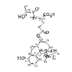 C[C@H](O)C(=O)N[C@@H](CCC(=O)OC1=CC[C@@]2(O)[C@H]3Cc4ccc(O)c5c4C2(CCN3C)C1O5)C(=O)O